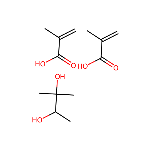 C=C(C)C(=O)O.C=C(C)C(=O)O.CC(O)C(C)(C)O